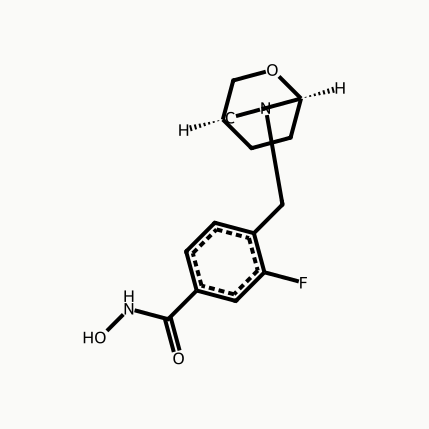 O=C(NO)c1ccc(CN2C[C@H]3CC[C@@H](C2)OC3)c(F)c1